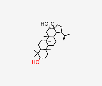 C=C(C)C1CCC2(C(=O)O)CC[C@]3(C)C(CCC4C5(C)CCC(O)C(C)(C)C5CCC43C)C12